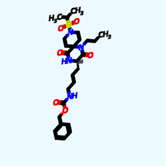 CCCN1C(=O)[C@H](CCCCNC(=O)OCc2ccccc2)NC(=O)C12CCN(S(=O)(=O)C(C)C)CC2